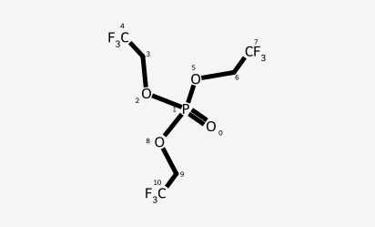 O=P(OCC(F)(F)F)(OCC(F)(F)F)OCC(F)(F)F